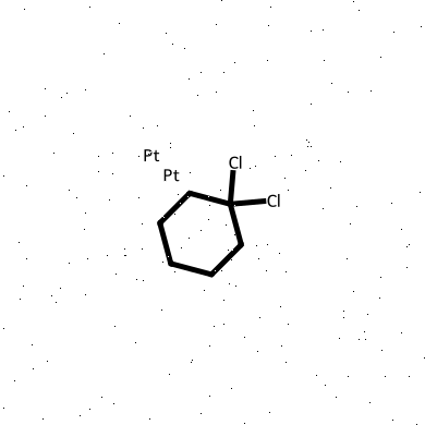 ClC1(Cl)CCCCC1.[Pt].[Pt]